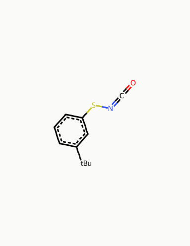 CC(C)(C)c1cccc(SN=C=O)c1